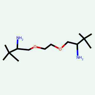 CC(C)(C)C(N)COCCOCC(N)C(C)(C)C